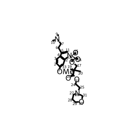 COc1ccc2c(CCN(C)C)cn(S(=O)(=O)OCC(C)(C)C(=O)OCCN3CCCOC3)c2c1